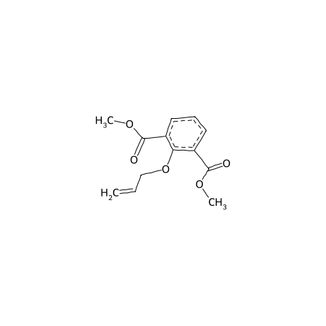 C=CCOc1c(C(=O)OC)cccc1C(=O)OC